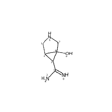 N=C(N)C1C2CNCC21O